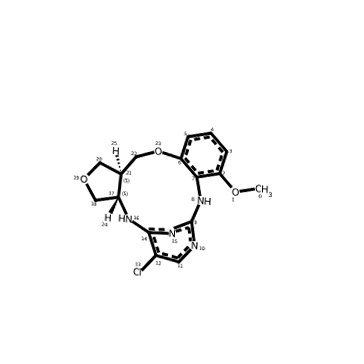 COc1cccc2c1Nc1ncc(Cl)c(n1)N[C@@H]1COC[C@H]1CO2